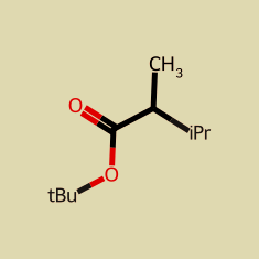 CC(C)C(C)C(=O)OC(C)(C)C